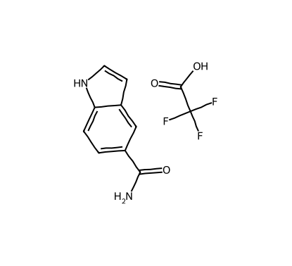 NC(=O)c1ccc2[nH]ccc2c1.O=C(O)C(F)(F)F